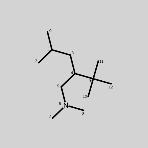 CC(C)CC(CN(C)C)C(C)(C)C